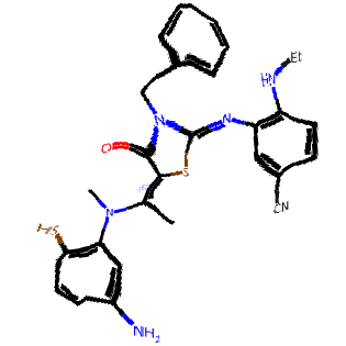 CCNc1ccc(C#N)cc1N=C1S/C(=C(\C)N(C)c2cc(N)ccc2S)C(=O)N1Cc1ccccc1